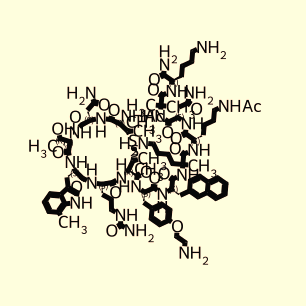 CC(=O)NCCCC[C@H](NC(=O)C(C)(CCCCN)NC(=O)[C@H](Cc1ccc2ccccc2c1)NC(=O)[C@H](Cc1ccc(OCCN)cc1)NC(=O)[C@H]1NC(=O)[C@H](CCCNC(N)=O)NC(=O)[C@H](Cc2c[nH]c3c(C)cccc23)NC(=O)[C@H]([C@@H](C)O)NC(=O)[C@H](CC(N)=O)NC(=O)[C@@H](NC(C)=O)C(C)(C)SSC1(C)C)C(=O)N[C@@H](CC(N)=O)C(=O)NC(C)(C)C(=O)N[C@H](CCCCN)C(N)=O